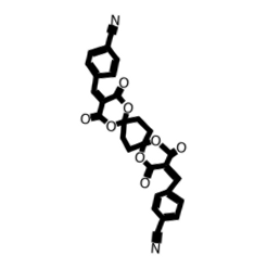 N#Cc1ccc(C=C2C(=O)OC3(CCC4(CC3)OC(=O)C(=Cc3ccc(C#N)cc3)C(=O)O4)OC2=O)cc1